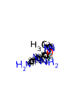 Cc1ccnc(Oc2ccc(-c3cnc(-c4ccc(N)cc4)nc3N)cc2F)n1